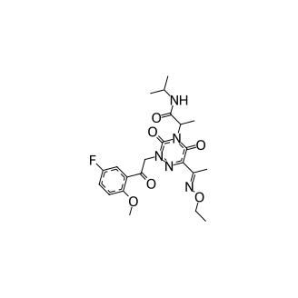 CCO/N=C(\C)c1nn(CC(=O)c2cc(F)ccc2OC)c(=O)n(C(C)C(=O)NC(C)C)c1=O